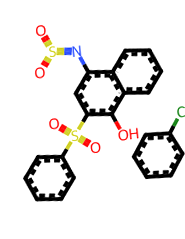 Clc1ccccc1.O=S(=O)=Nc1cc(S(=O)(=O)c2ccccc2)c(O)c2ccccc12